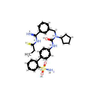 CCC(=S)NC(=N)c1cccc(CN(C(=O)Nc2ccc(-c3ccccc3S(N)(=O)=O)cc2)C2CCCC2)c1